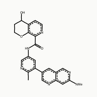 CNc1cc2ncc(-c3cc(NC(=O)c4nccc5c4OCCC5O)cnc3C)cc2cn1